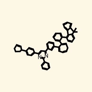 CC1(C)c2ccccc2-c2c(-c3ccccc3C3=CCC=CC=C3c3cccc(-c4cc(-c5ccc(C6C=CCCC6)cc5)nc(-c5ccccc5)n4)c3)cccc21